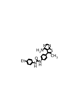 CCc1ccc(NC(=O)Nc2ccc(-c3c(C)sc4ncnc(N)c34)cc2)cc1